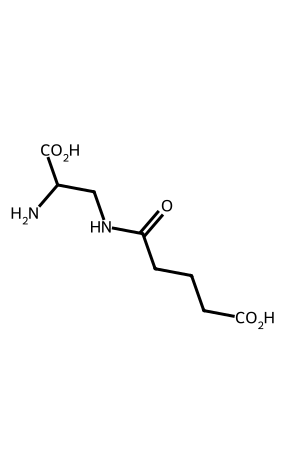 NC(CNC(=O)CCCC(=O)O)C(=O)O